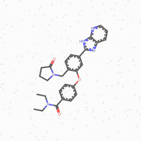 CCN(CC)C(=O)c1ccc(Oc2cc(-c3nc4cccnc4[nH]3)ccc2CN2CCCC2=O)cc1